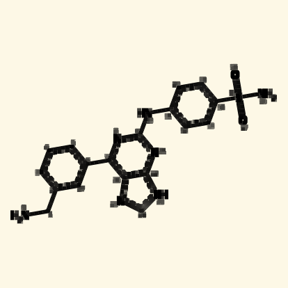 NCc1cccc(-c2nc(Nc3ccc(S(N)(=O)=O)cc3)nc3[nH]cnc23)c1